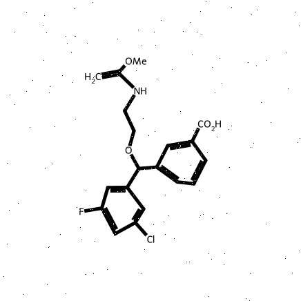 C=C(NCCOC(c1cc(F)cc(Cl)c1)c1cccc(C(=O)O)c1)OC